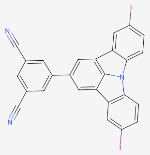 N#Cc1cc(C#N)cc(-c2cc3c4cc(I)ccc4n4c5ccc(I)cc5c(c2)c34)c1